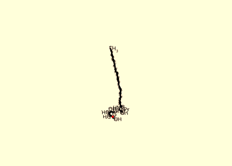 CC#CC#CC#CC#CC#CC#CC#CC#CC#CC#CC#CC#CC(=O)N[C@@H](CO[C@H]1OC(CO)[C@H](O)[C@H](O)C1O)[C@H](O)CCC